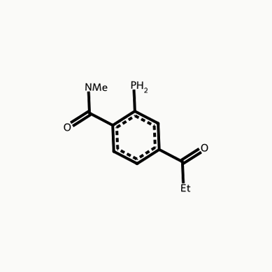 CCC(=O)c1ccc(C(=O)NC)c(P)c1